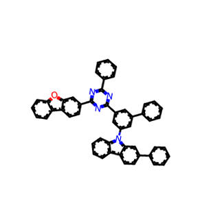 c1ccc(-c2cc(-c3nc(-c4ccccc4)nc(-c4ccc5c(c4)oc4ccccc45)n3)cc(-n3c4ccccc4c4ccc(-c5ccccc5)cc43)c2)cc1